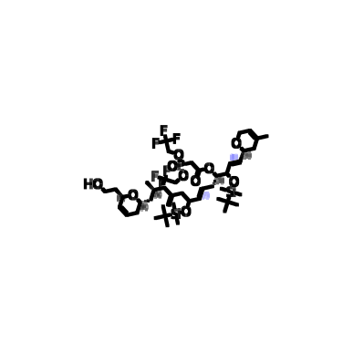 C=C(CC(/C=C/C[C@H](OC(=O)CP(=O)(OCC(F)(F)F)OCC(F)(F)F)C(/C=C/[C@@H]1CC(C)=CCO1)O[Si](C)(C)C(C)(C)C)O[Si](C)(C)C(C)(C)C)C[C@H](C)C[C@@H]1CC=C[C@@H](CCO)O1